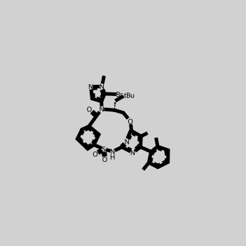 Cc1cccc(C)c1-c1nc2nc(c1C)OC[C@@H](CC(C)(C)C)N(c1cnn(C)c1Br)C(=O)c1cccc(c1)S(=O)(=O)N2